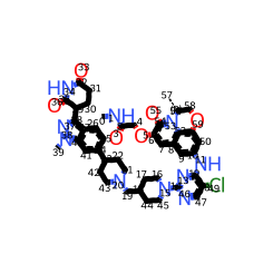 CNC(=O)COc1cc2cc(Nc3nc(N4CCC(CN5CCC(c6ccc7c(C8CCC(=O)NC8=O)nn(C)c7c6)CC5)CC4)ncc3Cl)cc3c2n(c1=O)[C@H](C)CO3